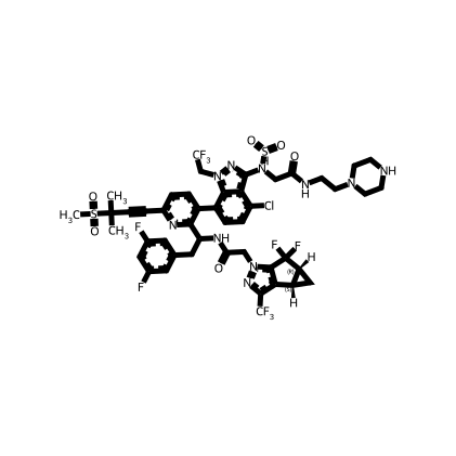 CC(C)(C#Cc1ccc(-c2ccc(Cl)c3c(N(CC(=O)NCCN4CCNCC4)[SH](=O)=O)nn(CC(F)(F)F)c23)c(C(Cc2cc(F)cc(F)c2)NC(=O)Cn2nc(C(F)(F)F)c3c2C(F)(F)[C@@H]2C[C@H]32)n1)S(C)(=O)=O